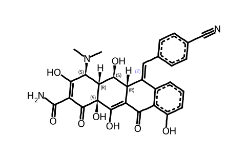 CN(C)[C@@H]1C(O)=C(C(N)=O)C(=O)[C@@]2(O)C(O)=C3C(=O)c4c(O)cccc4/C(=C\c4ccc(C#N)cc4)[C@H]3[C@H](O)[C@@H]12